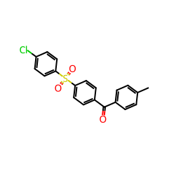 Cc1ccc(C(=O)c2ccc(S(=O)(=O)c3ccc(Cl)cc3)cc2)cc1